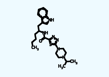 CCCCC(Cc1c[nH]c2ccccc12)NC(=O)c1nnc(N2CCN(C(C)C)CC2)s1